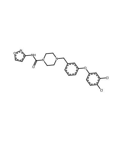 O=C(Nc1ccon1)N1CCN(Cc2cccc(Oc3ccc(Cl)c(Cl)c3)c2)CC1